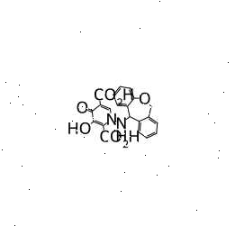 O=C(O)c1cn(NC2c3ccccc3COc3ccccc32)c(C(=O)O)c(O)c1=O